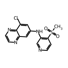 CS(=O)(=O)c1ccncc1Nc1cc(Cl)c2nccnc2c1